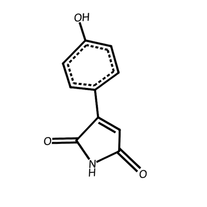 O=C1C=C(c2ccc(O)cc2)C(=O)N1